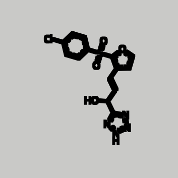 O=S(=O)(c1ccc(Cl)cc1)c1occc1C=CC(O)c1nn[nH]n1